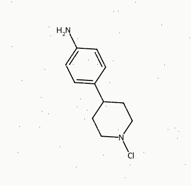 Nc1ccc(C2CCN(Cl)CC2)cc1